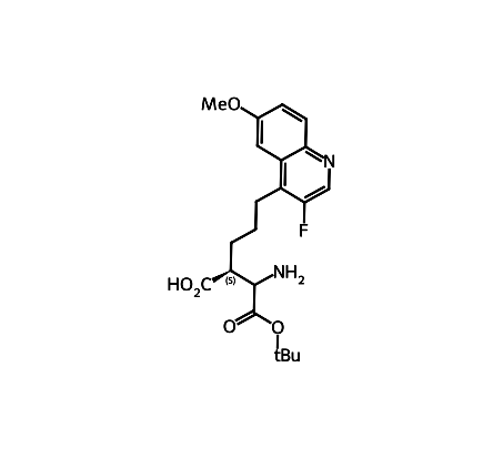 COc1ccc2ncc(F)c(CCC[C@H](C(=O)O)C(N)C(=O)OC(C)(C)C)c2c1